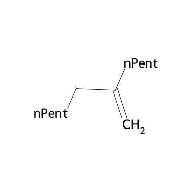 [CH2]CCCCCC(=C)CCCCC